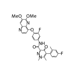 COc1cc2nccc(Oc3ccc(NC(=O)c4nn(C)c(C)c(-c5ccc(F)cc5C)c4=O)cc3F)c2nc1OC